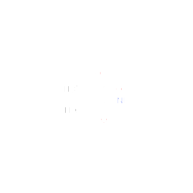 CC(C)C1C(=O)NOC1=O